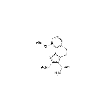 CCCCOc1cccc2c1-c1sc(NC(C)=O)c(C(N)=O)c1CC2